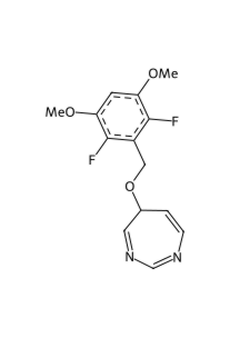 COc1cc(OC)c(F)c(COC2C=CN=CN=C2)c1F